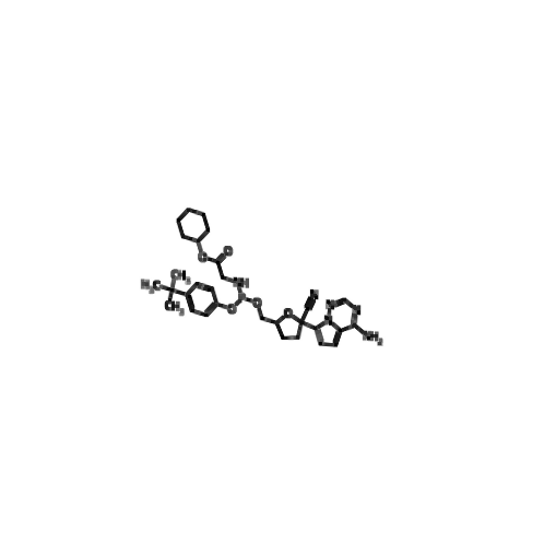 CC(C)(C)c1ccc(OP(NCC(=O)OC2CCCCC2)OCC2CCC(C#N)(c3ccc4c(N)ncnn34)O2)cc1